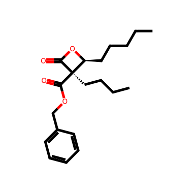 CCCCC[C@@H]1OC(=O)[C@]1(CCCC)C(=O)OCc1ccccc1